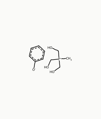 C[P+](CO)(CO)CO.[O-]c1ccccc1